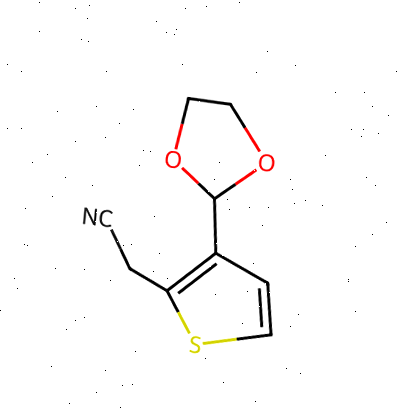 N#CCc1sccc1C1OCCO1